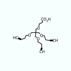 C#CCCOCC(COCCC#C)(COCCC#C)COCCC(=O)O